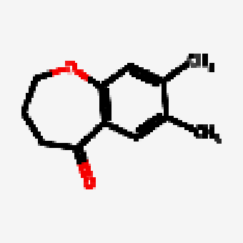 Cc1cc2c(cc1C)C(=O)CCCO2